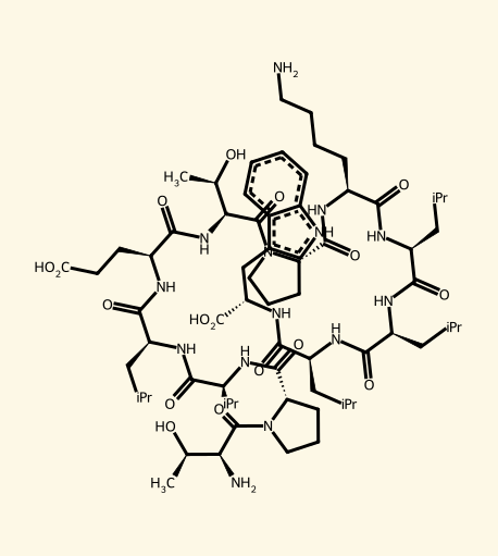 CC(C)C[C@H](NC(=O)[C@H](CC(C)C)NC(=O)[C@H](CC(C)C)NC(=O)[C@H](CCCCN)NC(=O)[C@@H]1CCCN1C(=O)[C@@H](NC(=O)[C@H](CCC(=O)O)NC(=O)[C@H](CC(C)C)NC(=O)[C@@H](NC(=O)[C@@H]1CCCN1C(=O)[C@@H](N)[C@@H](C)O)C(C)C)[C@@H](C)O)C(=O)N[C@@H](Cc1c[nH]c2ccccc12)C(=O)O